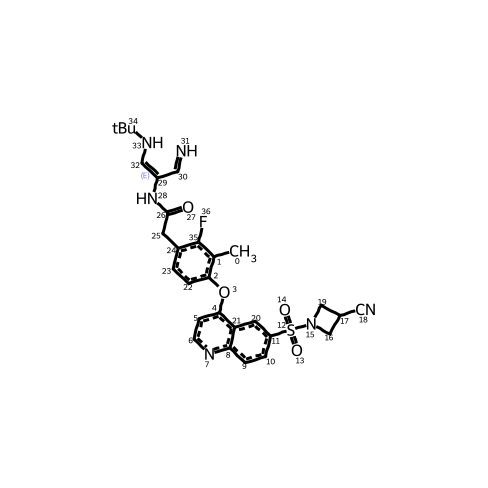 Cc1c(Oc2ccnc3ccc(S(=O)(=O)N4CC(C#N)C4)cc23)ccc(CC(=O)N/C(C=N)=C/NC(C)(C)C)c1F